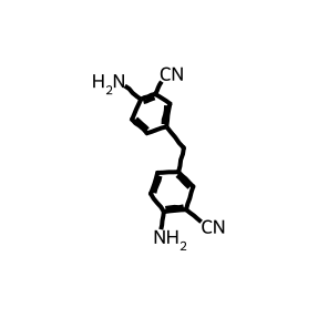 N#Cc1cc(Cc2ccc(N)c(C#N)c2)ccc1N